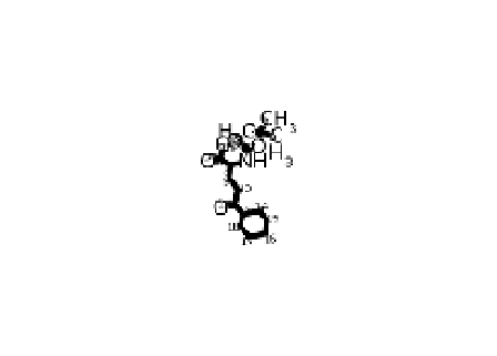 CC(C)(C)OC(=O)NC(CCC(=O)C1CCCCC1)C(=O)O